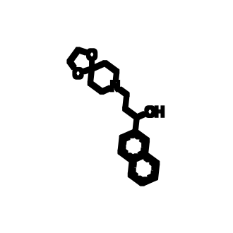 OC(CCN1CCC2(CC1)OCCO2)c1ccc2ccccc2c1